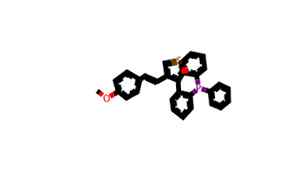 COc1ccc(C=Cc2cscc2-c2ccccc2P(c2ccccc2)c2ccccc2)cc1